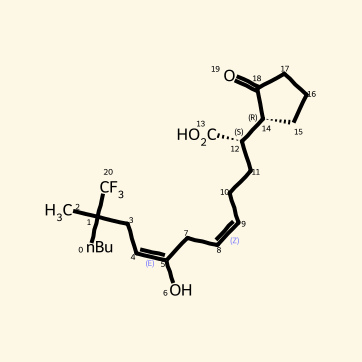 CCCCC(C)(C/C=C(/O)C/C=C\CC[C@H](C(=O)O)[C@H]1CCCC1=O)C(F)(F)F